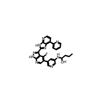 CCCC(O)Nc1cncc(-c2cnc3[nH]nc(-c4nc5c(-c6ccccn6)ccnc5[nH]4)c3c2F)c1